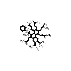 COC(OC)(c1c(CC=C(C)C)c(CC=C(C)C)c(CC=C(C)C)c2c(CC=C(C)C)c(CC=C(C)C)c(CC=C(C)C)c(CC=C(C)C)c12)S(=O)(=O)c1ccccc1